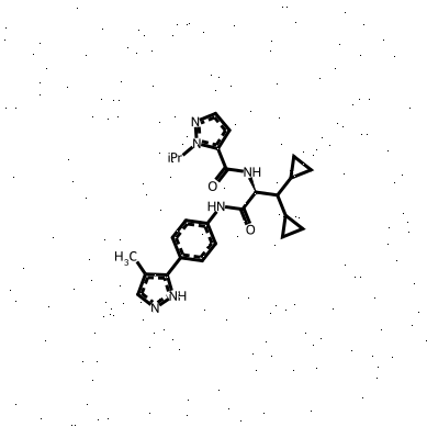 Cc1cn[nH]c1-c1ccc(NC(=O)[C@@H](NC(=O)c2ccnn2C(C)C)C(C2CC2)C2CC2)cc1